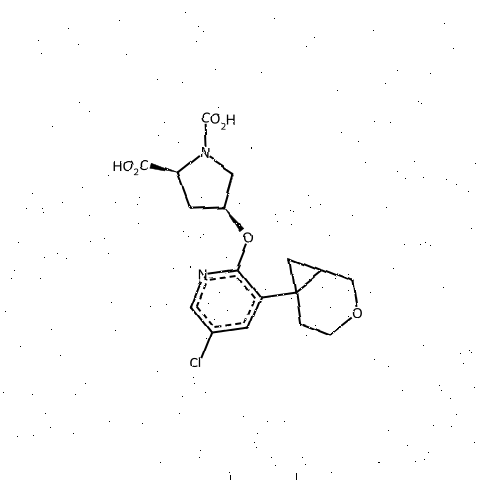 O=C(O)[C@@H]1C[C@H](Oc2ncc(Cl)cc2C23CCOCC2C3)CN1C(=O)O